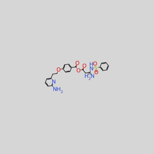 Nc1cccc(CCOc2ccc(C(=O)OC(=O)C[C@@H](N)NS(=O)(=O)c3ccccc3)cc2)n1